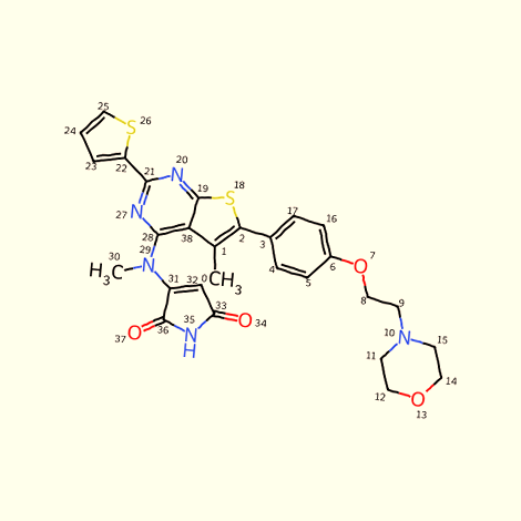 Cc1c(-c2ccc(OCCN3CCOCC3)cc2)sc2nc(-c3cccs3)nc(N(C)C3=CC(=O)NC3=O)c12